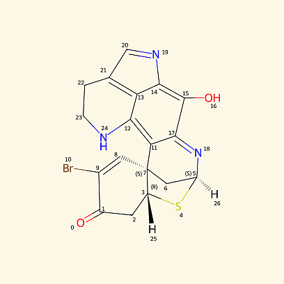 O=C1C[C@H]2S[C@H]3C[C@]2(C=C1Br)c1c2c4c(c(O)c1=N3)N=CC=4CCN2